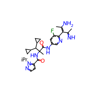 CC(=N)/C(=C(/C)N)c1ncc(NC(=O)C(C)(NC(=O)c2ccnn2C(C)C)C(C2CC2)C2CC2)cc1F